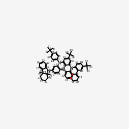 CC(C)(C)c1ccc(N2c3cc(N4c5ccccc5C5(C)CCCCC45C)ccc3B3c4ccccc4N(c4ccc(C(C)(C)C)cc4-c4ccccc4)c4cc(C(C)(C)C)cc2c43)cc1